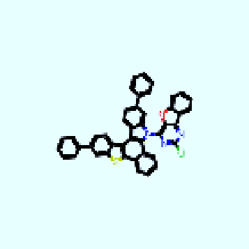 Clc1nc(-n2c3cc(-c4ccccc4)ccc3c3c4c5ccc(-c6ccccc6)cc5sc4c4ccccc4c32)c2oc3ccccc3c2n1